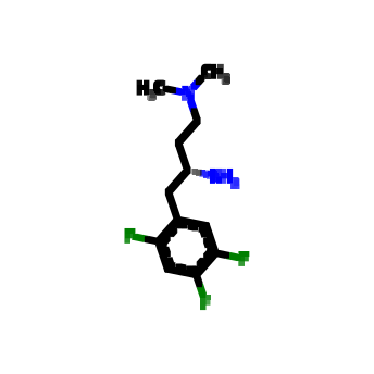 CN(C)CC[C@H](N)Cc1cc(F)c(F)cc1F